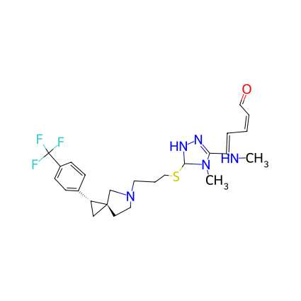 CN/C(=C\C=C/C=O)C1=NNC(SCCCN2CC[C@]3(C[C@@H]3c3ccc(C(F)(F)F)cc3)C2)N1C